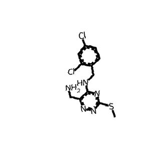 CSc1nnc(CN)c(NCc2ccc(Cl)cc2Cl)n1